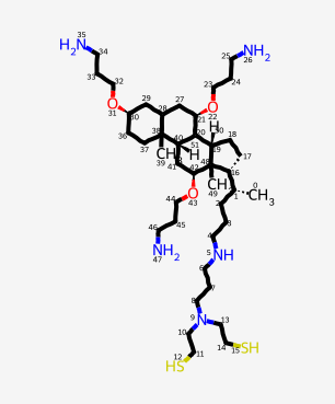 C[C@H](CCCNCCCN(CCS)CCS)[C@H]1CC[C@H]2C3[C@H](OCCCN)CC4C[C@H](OCCCN)CCC4(C)[C@H]3C[C@H](OCCCN)C12C